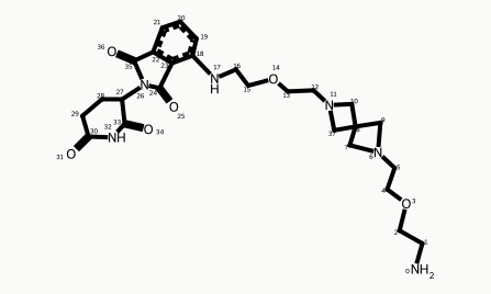 NCCOCCN1CC2(C1)CN(CCOCCNc1cccc3c1C(=O)N(C1CCC(=O)NC1=O)C3=O)C2